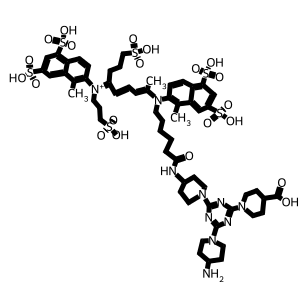 C\C(=C/C=C/C(CCCS(=O)(=O)O)=[N+](\CCCS(=O)(=O)O)c1ccc2c(S(=O)(=O)O)cc(S(=O)(=O)O)cc2c1C)N(CCCCCC(=O)NC1CCN(c2nc(N3CCC(N)CC3)nc(N3CCC(C(=O)O)CC3)n2)CC1)c1ccc2c(S(=O)(=O)O)cc(S(=O)(=O)O)cc2c1C